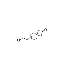 O=C1CC2(CCN(CCCl)CC2)C1